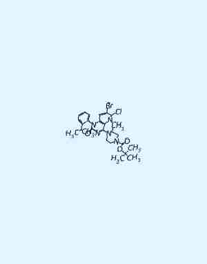 CC(C)c1ccccc1-n1c(=O)nc(N2CCN(C(=O)OC(C)(C)C)C[C@@H]2C)c2nc(Cl)c(Br)cc21